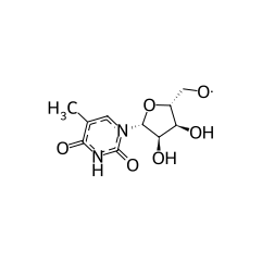 Cc1cn([C@@H]2O[C@H](C[O])[C@@H](O)[C@H]2O)c(=O)[nH]c1=O